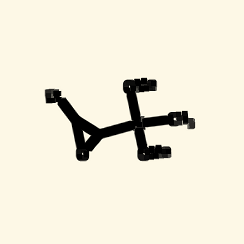 CCC1OC1[Si](C)(OC)OC